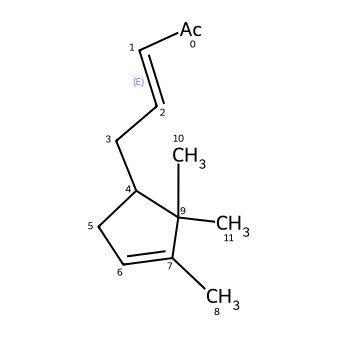 CC(=O)/C=C/CC1CC=C(C)C1(C)C